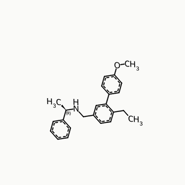 CCc1ccc(CN[C@H](C)c2ccccc2)cc1-c1ccc(OC)cc1